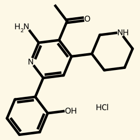 CC(=O)c1c(C2CCCNC2)cc(-c2ccccc2O)nc1N.Cl